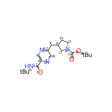 CC(C)(C)NC(=O)c1cnc(CC2CCN(C(=O)OC(C)(C)C)C2)cn1